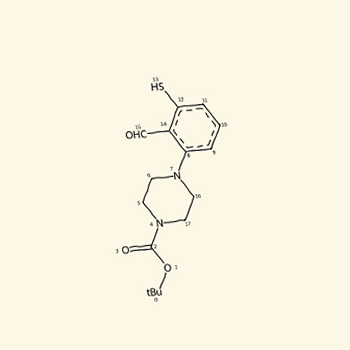 CC(C)(C)OC(=O)N1CCN(c2cccc(S)c2C=O)CC1